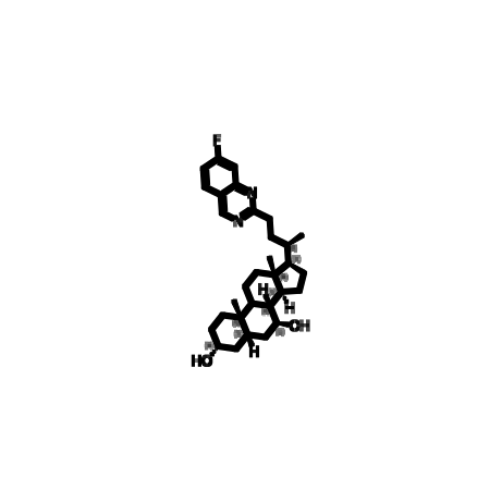 C[C@H](CCc1ncc2ccc(F)cc2n1)[C@H]1CC[C@H]2[C@H]3C(CC[C@]12C)[C@@]1(C)CC[C@@H](O)C[C@H]1C[C@@H]3O